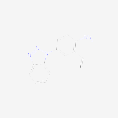 C=Cc1cc(-n2nnc3ccccc32)ccc1N